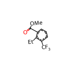 CCc1c(C(=O)OC)cccc1C(F)(F)F